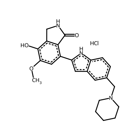 COc1cc(-c2cc3cc(CN4CCCCC4)ccc3[nH]2)c2c(c1O)CNC2=O.Cl